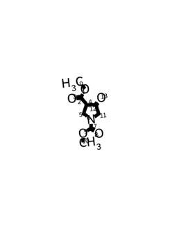 COC(=O)C1CN(C(=O)OC)CC1=O